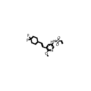 C=CS(=O)(=O)Nc1cnc(OC)c(/C=C/C2CCC(F)(F)CC2)c1